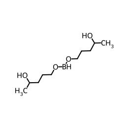 CC(O)CCCOBOCCCC(C)O